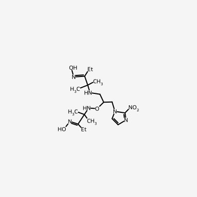 CCC(=NO)C(C)(C)NCC(Cn1ccnc1[N+](=O)[O-])ONC(C)(C)C(CC)=NO